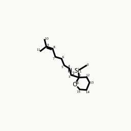 C[SiH2]C1(CCCCCC=C(C)C)CCCCO1